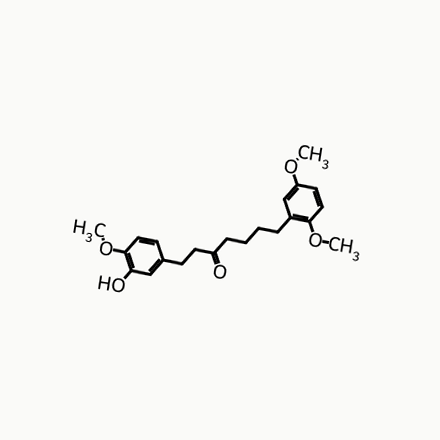 COc1ccc(OC)c(CCCCC(=O)CCc2ccc(OC)c(O)c2)c1